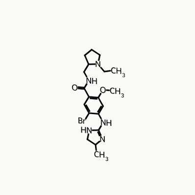 CCN1CCCC1CNC(=O)c1cc(Br)c(NC2=NC(C)CN2)cc1OC